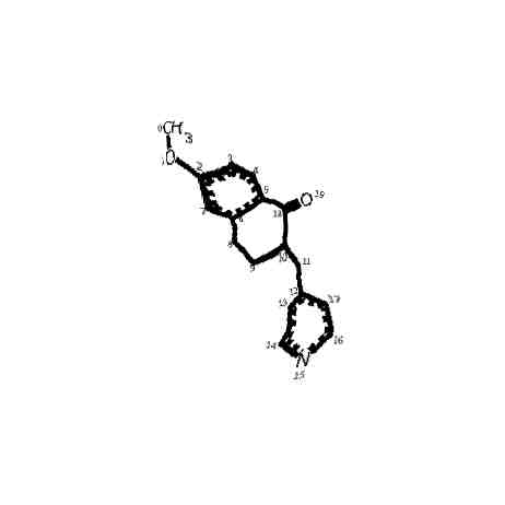 COc1ccc2c(c1)CCC(Cc1ccncc1)C2=O